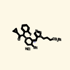 CCOC(=O)CCCn1nncc1/C=C1\CN(C(C(=O)C2CC2)c2ccccc2F)CCC1S.Cl